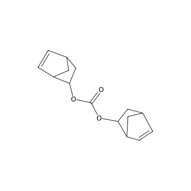 O=C(OC1CC2C=CC1C2)OC1CC2C=CC1C2